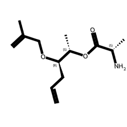 C=CC[C@@H](OCC(=C)C)[C@H](C)OC(=O)[C@H](C)N